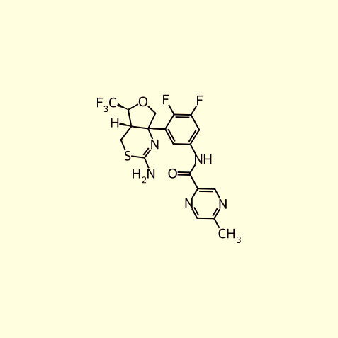 Cc1cnc(C(=O)Nc2cc(F)c(F)c([C@]34CO[C@H](C(F)(F)F)[C@H]3CSC(N)=N4)c2)cn1